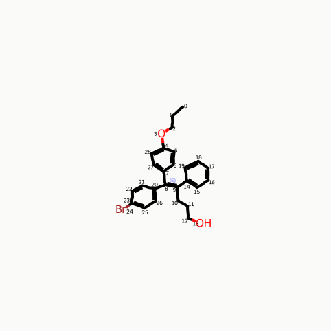 CCCOc1ccc(/C(=C(/CCCO)c2ccccc2)c2ccc(Br)cc2)cc1